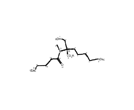 CCCCCCCCCCCCCC[C@](CCCCCCCCCCC)(C(=O)O)N(C)C(=O)CCCCCCCCCCCCC